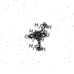 Cc1nc[nH]c1CSCCNC(N)C(=C(C(N)NCCSCc1[nH]cnc1C)S(=O)(=O)c1ccc(Cl)c(Cl)c1)S(=O)(=O)c1ccc(Cl)cc1